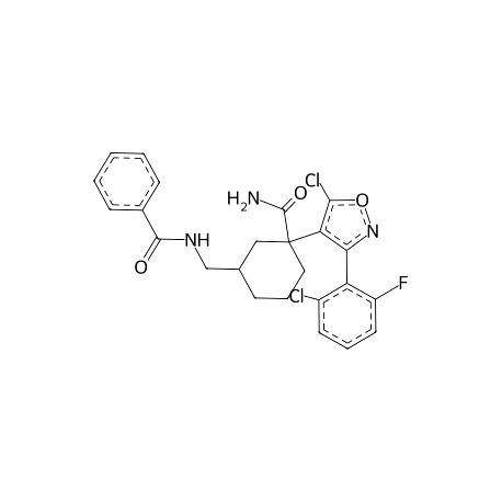 NC(=O)C1(c2c(-c3c(F)cccc3Cl)noc2Cl)CCCC(CNC(=O)c2ccccc2)C1